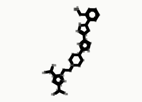 OCc1ccccc1C1CC(c2csc(C3CCN([CH][CH]n4nc(C(F)F)cc4C(F)F)CC3)n2)=NO1